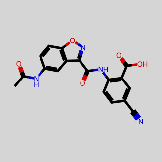 CC(=O)Nc1ccc2onc(C(=O)Nc3ccc(C#N)cc3C(=O)O)c2c1